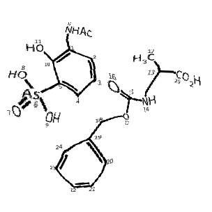 CC(=O)Nc1cccc([As](=O)(O)O)c1O.CC(NC(=O)OCc1ccccc1)C(=O)O